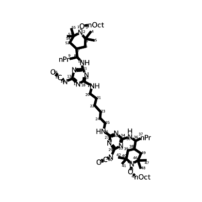 CCCCCCCCON1C(C)(C)CC(C(CCC)Nc2nc(N=C=O)nc(NCCCCCCNc3nc(N=C=O)nc(NC(CCC)C4CC(C)(C)N(OCCCCCCCC)C(C)(C)C4)n3)n2)CC1(C)C